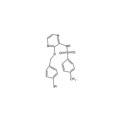 Cc1ccc(S(=O)(=O)Nc2nccnc2OCc2ccc(C(C)C)cc2)cc1